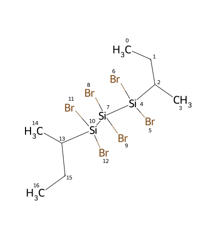 CCC(C)[Si](Br)(Br)[Si](Br)(Br)[Si](Br)(Br)C(C)CC